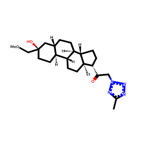 CC[C@]12CC[C@H]3[C@@H](CC[C@H]4C[C@@](O)(COC)CC[C@@H]43)[C@@H]1CC[C@@H]2C(=O)Cn1nnc(C)n1